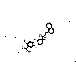 COc1cc(Cl)c(O[C@H]2CC[C@@](C)(C(=O)OCc3cccc4ccccc34)CC2)cc1C(=O)O